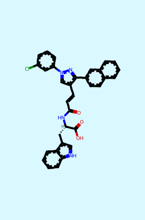 O=C(C=Cc1cn(-c2cccc(Cl)c2)nc1-c1ccc2ccccc2c1)N[C@@H](Cc1c[nH]c2ccccc12)C(=O)O